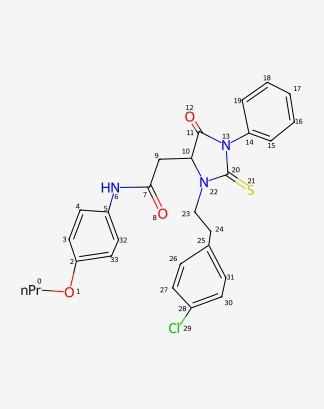 CCCOc1ccc(NC(=O)CC2C(=O)N(c3ccccc3)C(=S)N2CCc2ccc(Cl)cc2)cc1